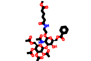 COC(=O)CCCCC(=O)NCCO[C@H]1O[C@H](COC(=O)c2ccccc2)[C@H](O)[C@H](O[C@@H]2O[C@H](COC(C)=O)[C@H](OC(C)=O)[C@H](OC(C)=O)[C@H]2OC(C)=O)[C@H]1NC(C)=O